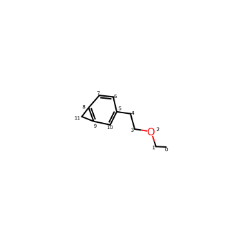 CCOCCc1ccc2c(c1)C2